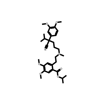 COc1ccc(C(C#N)(CCCN(C)CCc2cc(OC)c(OC)cc2C(=O)OC(C)C)C(C)C)cc1OC